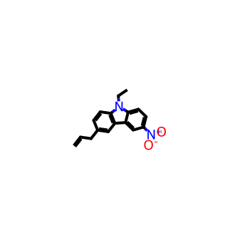 C=CCc1ccc2c(c1)c1cc([N+](=O)[O-])ccc1n2CC